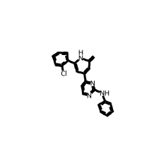 C=C1C=C(c2ccnc(Nc3ccccc3)n2)C=C(c2ccccc2Cl)N1